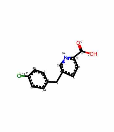 O=C(O)c1ccc(Cc2ccc(Cl)cc2)cn1